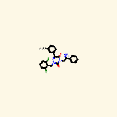 COc1cccc(-c2nn(Cc3c(F)cccc3Cl)c(=O)n(CC(N)c3ccccc3)c2=O)c1